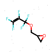 FC(F)=C(F)C(F)(F)OCC1CO1